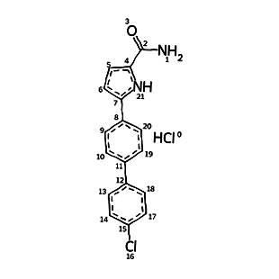 Cl.NC(=O)c1ccc(-c2ccc(-c3ccc(Cl)cc3)cc2)[nH]1